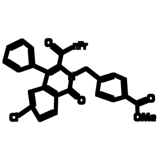 CCCC(=O)c1c(-c2ccccc2)c2cc(Cl)ccc2c(=O)n1Cc1ccc(C(=O)OC)cc1